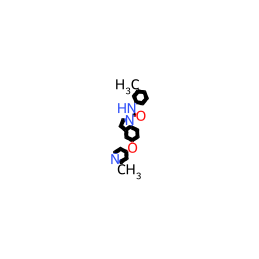 Cc1cccc(NC(=O)n2ccc3cc(Oc4ccnc(C)c4)ccc32)c1